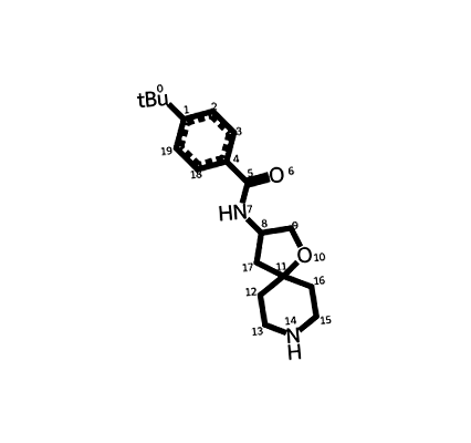 CC(C)(C)c1ccc(C(=O)NC2COC3(CCNCC3)C2)cc1